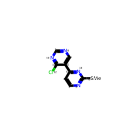 CSc1nccc(-c2cncnc2Cl)n1